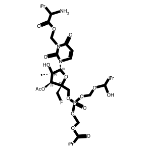 CC(=O)O[C@@H]1[C@@](CF)(COP(=O)(OCOC(=O)C(C)C)OCOC(O)C(C)C)O[C@@H](n2ccc(=O)n(COC(=O)C(N)C(C)C)c2=O)[C@]1(C)O